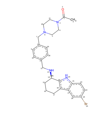 CC(=O)N1CCN(Cc2ccc(CN[C@@H]3CCCc4c3[nH]c3ccc(Br)cc43)cc2)CC1